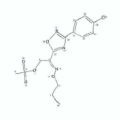 CCCON=C(COS(C)(=O)=O)c1nc(-c2ccc(Cl)cc2)no1